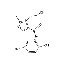 Cc1ncc([N+](=O)[O-])n1CCO.O=C(O)/C=C\C(=O)O